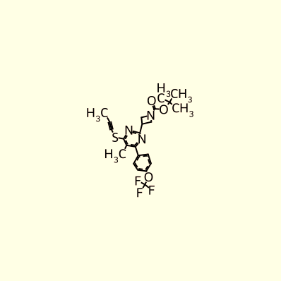 CC#CSc1nc(C2CN(C(=O)OC(C)(C)C)C2)nc(-c2ccc(OC(F)(F)F)cc2)c1C